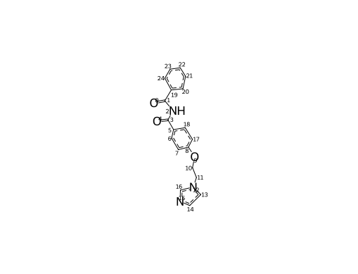 O=C(NC(=O)c1ccc(OCCn2ccnc2)cc1)c1ccccc1